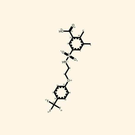 Cc1cc(S(=O)(=O)NCCOc2ccc(C(F)(F)F)cc2)cc(C(=O)O)c1C